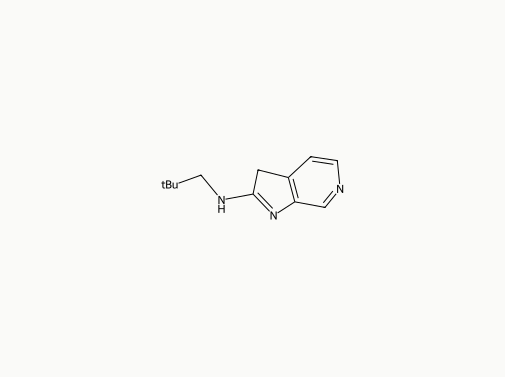 CC(C)(C)CNC1=Nc2cnccc2C1